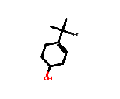 CCC(C)(C)C1=CCC(O)CC1